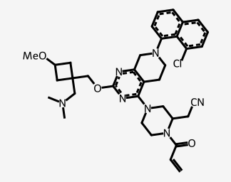 C=CC(=O)N1CCN(c2nc(OCC3(CN(C)C)CC(OC)C3)nc3c2CCN(c2cccc4cccc(Cl)c24)C3)CC1CC#N